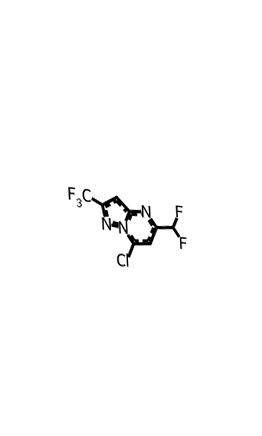 FC(F)c1cc(Cl)n2nc(C(F)(F)F)cc2n1